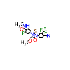 CNC(=O)c1ccc(N2C(=S)N(c3ccc(C#N)c(C(F)(F)F)c3)C(=O)C2COC)cc1F